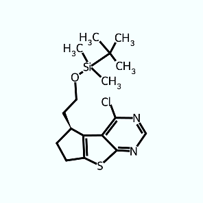 CC(C)(C)[Si](C)(C)OCC[C@@H]1CCc2sc3ncnc(Cl)c3c21